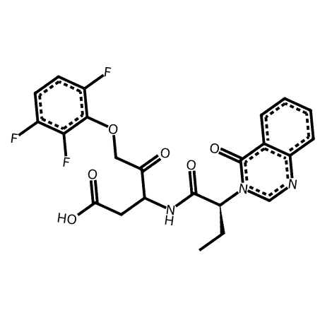 CC[C@@H](C(=O)NC(CC(=O)O)C(=O)COc1c(F)ccc(F)c1F)n1cnc2ccccc2c1=O